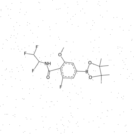 COc1cc(B2OC(C)(C)C(C)(C)O2)cc(F)c1C(=O)NC(F)C(F)F